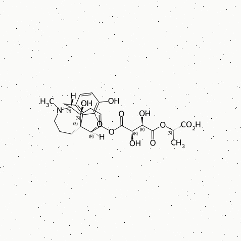 C[C@H](OC(=O)[C@H](O)[C@@H](O)C(=O)OC1=CC[C@@]2(O)[C@H]3Cc4ccc(O)c5c4[C@@]2(CCCN3C)[C@H]1O5)C(=O)O